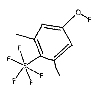 Cc1cc(OF)cc(C)c1S(F)(F)(F)(F)F